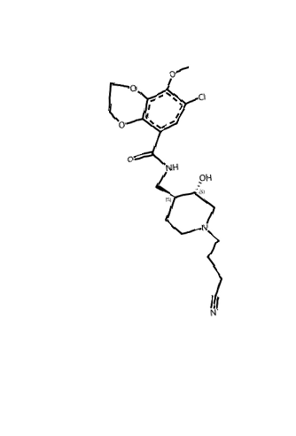 COc1c(Cl)cc(C(=O)NC[C@@H]2CCN(CCCC#N)C[C@H]2O)c2c1OCCO2